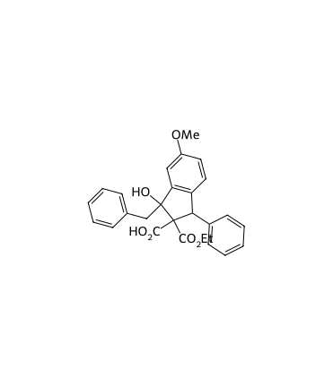 CCOC(=O)C1(C(=O)O)C(c2ccccc2)c2ccc(OC)cc2C1(O)Cc1ccccc1